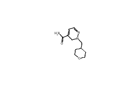 NC(=O)C1=CC=NN(CC2CCOCC2)C1